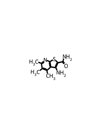 Cc1nc2sc(C(N)=O)c(N)c2c(C)c1C